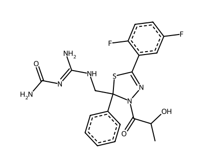 CC(O)C(=O)N1N=C(c2cc(F)ccc2F)SC1(CNC(N)=NC(N)=O)c1ccccc1